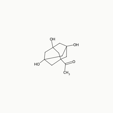 CC(=O)C12CC3(O)CC(O)(CC(O)(C3)C1)C2